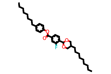 CCCCCCCCCC1COC(c2ccc(C(=O)Oc3ccc(CCCCCCCC)cc3)cc2F)OC1